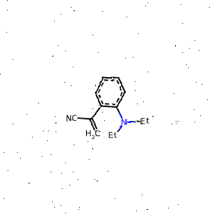 C=C(C#N)c1ccccc1N(CC)CC